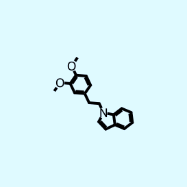 COc1ccc(CCn2ccc3ccccc32)cc1OC